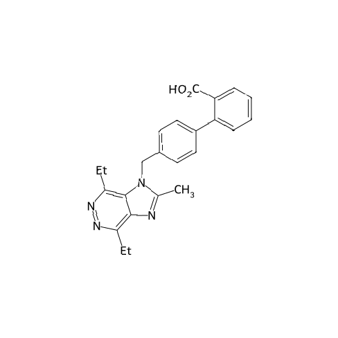 CCc1nnc(CC)c2c1nc(C)n2Cc1ccc(-c2ccccc2C(=O)O)cc1